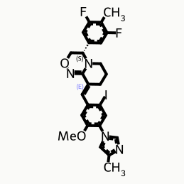 COc1cc(/C=C2\CCCN3C2=NOC[C@@H]3c2cc(F)c(C)c(F)c2)c(I)cc1-n1cnc(C)c1